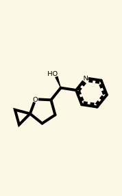 O[C@@H](c1ccccn1)C1CCC2(CC2)O1